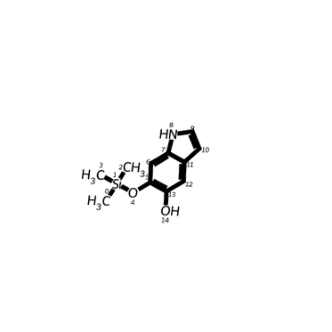 C[Si](C)(C)Oc1cc2[nH]ccc2cc1O